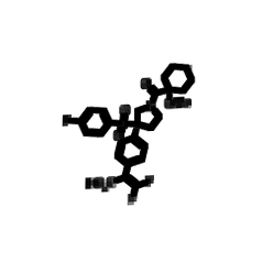 COC1(C(=O)N2CC[C@](c3ccc(C(C(=O)O)=C(F)F)cc3)(S(=O)(=O)c3ccc(F)cc3)C2)CC[CH]CC1